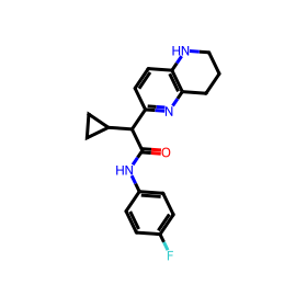 O=C(Nc1ccc(F)cc1)C(c1ccc2c(n1)CCCN2)C1CC1